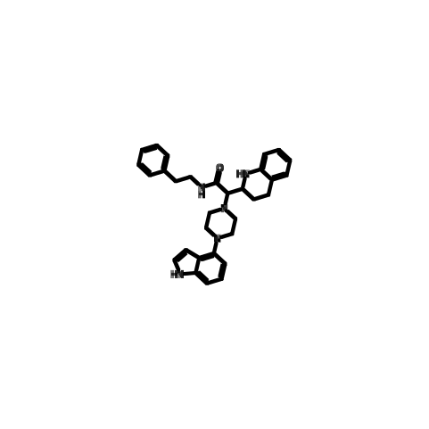 O=C(NCCc1ccccc1)C(C1CCc2ccccc2N1)N1CCN(c2cccc3[nH]ccc23)CC1